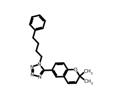 CC1(C)C=Cc2cc(-c3nnnn3CCCCc3ccccc3)ccc2O1